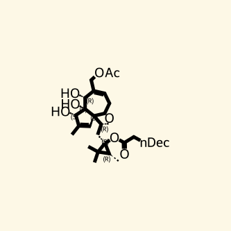 CCCCCCCCCCCC(=O)O[C@@]1(C[C@@H](C)[C@]23C=C(C)[C@H](O)[C@@]2(O)[C@H](O)C(COC(C)=O)=CCC3=O)[C@H](C)C1(C)C